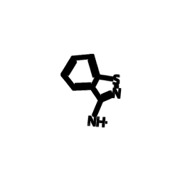 [NH]c1nsc2ccccc12